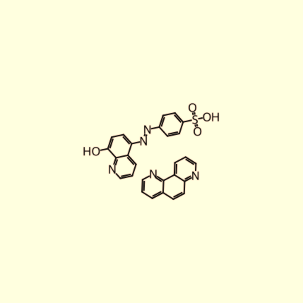 O=S(=O)(O)c1ccc(N=Nc2ccc(O)c3ncccc23)cc1.c1cnc2c(c1)ccc1ncccc12